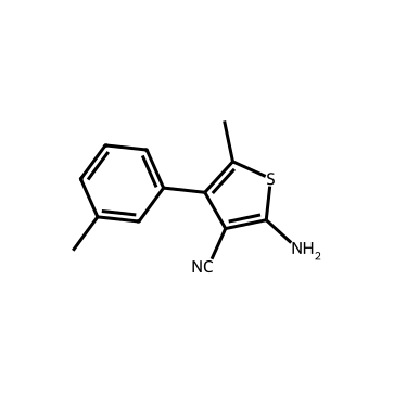 Cc1cccc(-c2c(C)sc(N)c2C#N)c1